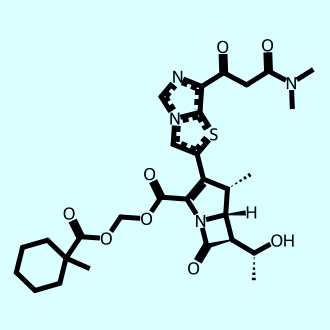 C[C@@H](O)[C@H]1C(=O)N2C(C(=O)OCOC(=O)C3(C)CCCCC3)=C(c3cn4cnc(C(=O)CC(=O)N(C)C)c4s3)[C@H](C)[C@H]12